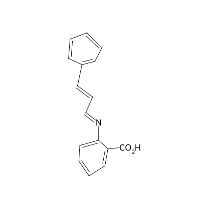 O=C(O)c1ccccc1N=CC=Cc1ccccc1